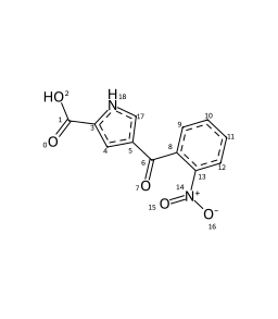 O=C(O)c1cc(C(=O)c2ccccc2[N+](=O)[O-])c[nH]1